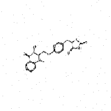 CCN1C(=O)c2ccccc2N(C)C1COc1ccc(CC2SC(=O)NC2=O)cc1